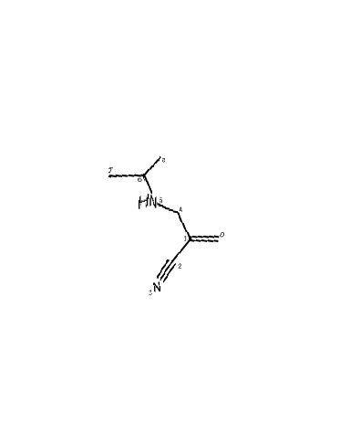 C=C(C#N)CNC(C)C